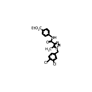 CCOC(=O)c1ccc(NC(=O)c2nnn(Cc3ccc(Cl)c(Cl)c3)c2C)cc1